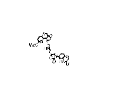 COc1ccc2ncc3c(c2n1)[C@@H](CCNCC[C@@H]1CN(c2ccc4c(c2)NC(=O)CS4)C(=O)O1)CO3